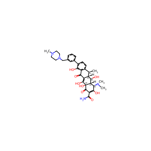 C[C@@H]1c2ccc(-c3cccc(CN4CCN(C)CC4)c3)c(O)c2C(=O)C2=C(O)[C@@]3(O)C(=O)C(C(N)=O)=C(O)[C@H](N(C)C)[C@H]3[C@H](O)[C@H]21